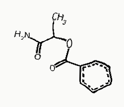 CC(OC(=O)c1ccccc1)C(N)=O